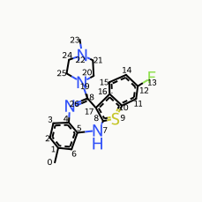 Cc1ccc2c(c1)Nc1sc3cc(F)ccc3c1C(N1CCN(C)CC1)=N2